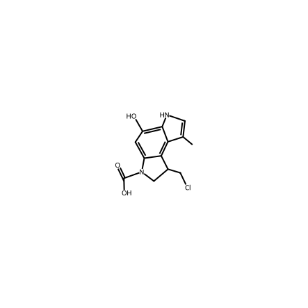 Cc1c[nH]c2c(O)cc3c(c12)C(CCl)CN3C(=O)O